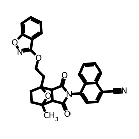 CC12CCC(CCOc3noc4ccccc34)(O1)C1C(=O)N(c3ccc(C#N)c4ccccc34)C(=O)C12